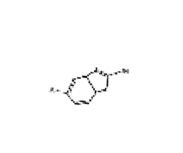 CC(C)(C)C1=CC2N=C(S)OC2C=C1